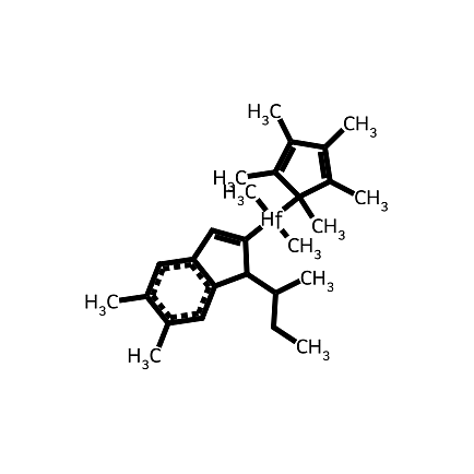 CCC(C)C1[C]([Hf]([CH3])([CH3])[C]2(C)C(C)=C(C)C(C)=C2C)=Cc2cc(C)c(C)cc21